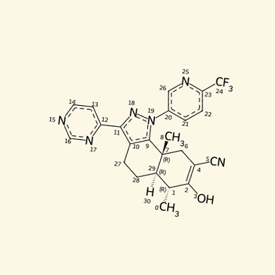 C[C@H]1C(O)=C(C#N)C[C@@]2(C)c3c(c(-c4ccncn4)nn3-c3ccc(C(F)(F)F)nc3)CC[C@H]12